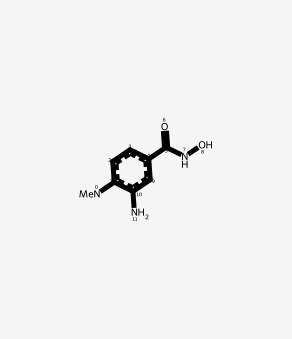 CNc1ccc(C(=O)NO)cc1N